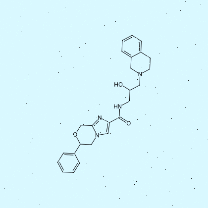 O=C(NCC(O)CN1CCc2ccccc2C1)c1cn2c(n1)COC(c1ccccc1)C2